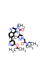 CCN(C)C(=O)Cn1cc(-n2c(=O)n(C)c3cnc4ccc(-c5cncc(OC(C)C)c5)cc4c32)c(C)n1